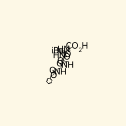 CC[C@H](C)[C@H](NC(=O)C(=O)C(C)NC(=O)CCNC(=O)OCc1ccccc1)C(=O)NC(C)(C)C(=O)O